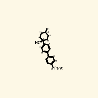 CCCCCc1ccc(-c2ccc(C3(C#N)CCC(C)CC3)cc2)cc1